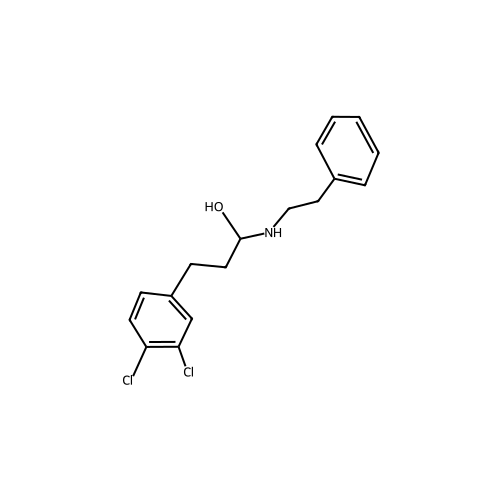 OC(CCc1ccc(Cl)c(Cl)c1)NCCc1ccccc1